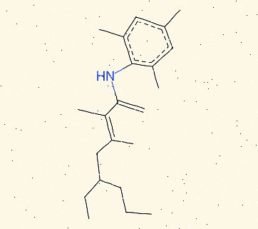 C=C(Nc1c(C)cc(C)cc1C)/C(C)=C(\C)CC(CC)CCC